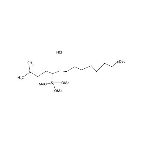 CCCCCCCCCCCCCCCCCCC(CCN(C)C)[Si](OC)(OC)OC.Cl